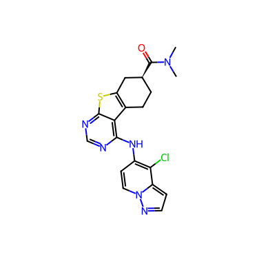 CN(C)C(=O)[C@H]1CCc2c(sc3ncnc(Nc4ccn5nccc5c4Cl)c23)C1